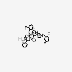 Cc1c(N2CCN(Cc3cc(F)ccc3F)CC2)c(=O)n(CC(N)c2ccccc2)c(=O)n1Cc1c(F)cccc1F